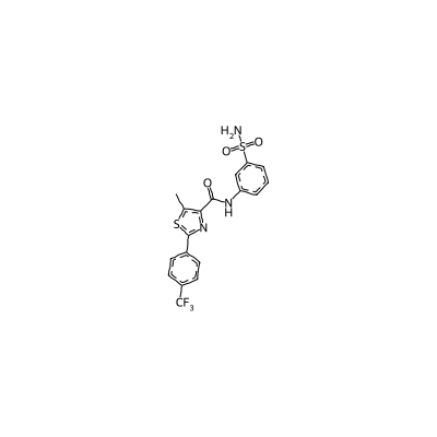 Cc1sc(-c2ccc(C(F)(F)F)cc2)nc1C(=O)Nc1cccc(S(N)(=O)=O)c1